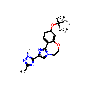 CCOC(=O)C(C)(OC1C=C2OCCn3cc(-c4nc(C)nn4C(C)C)nc3C2=CC1)C(=O)OCC